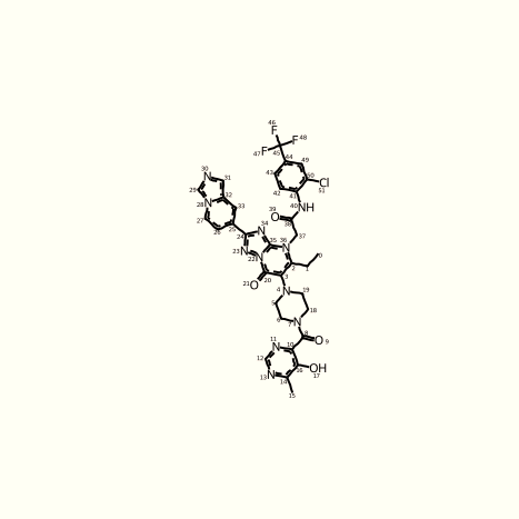 CCc1c(N2CCN(C(=O)c3ncnc(C)c3O)CC2)c(=O)n2nc(-c3ccn4cncc4c3)nc2n1CC(=O)Nc1ccc(C(F)(F)F)cc1Cl